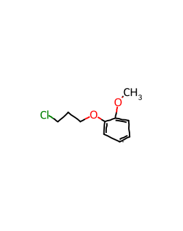 COc1cc[c]cc1OCCCCl